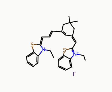 CCN1C(=CC=CC2=CC(=Cc3sc4ccccc4[n+]3CC)CC(C)(C)C2)Sc2ccccc21.[I-]